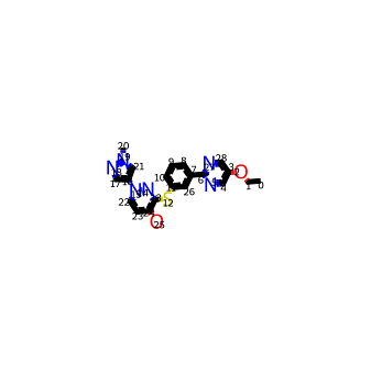 CCOc1cnc(-c2cccc(Sc3nn(-c4cnn(C)c4)ccc3=O)c2)nc1